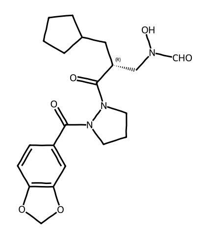 O=CN(O)C[C@@H](CC1CCCC1)C(=O)N1CCCN1C(=O)c1ccc2c(c1)OCO2